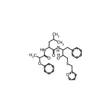 CC(C)CC(NC(=O)C(C)Oc1ccccc1)C(=O)NC(Cc1ccccc1)C(O)CSCc1ccco1